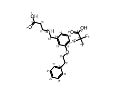 O=C(O)C(F)(F)F.O=C(O)CCNCc1cccc(OCCc2ccccc2)c1